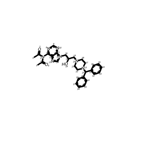 CC(=O)N(C(C)=O)c1ncnc2c1ncn2CC(O)CN1CCN(C(c2ccccc2)c2ccccc2)CC1